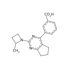 CC1CCN1c1nc2c(c(-c3cccc(C(=O)O)c3)n1)CCC2